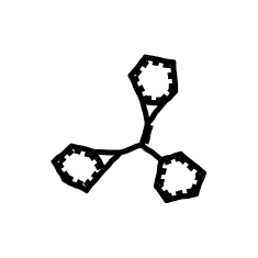 c1ccc(C([C]2c3ccccc32)=C2c3ccccc32)cc1